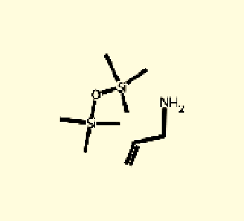 C=CCN.C[Si](C)(C)O[Si](C)(C)C